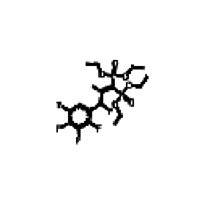 CCOP(=O)(OCC)C(=C(C)C(F)c1cc(F)c(F)c(F)c1F)P(=O)(OCC)OCC